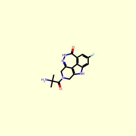 CC(C)(N)C(=O)N1CC2=NNC(=O)c3cc(F)cc4[nH]c(c2c34)C1